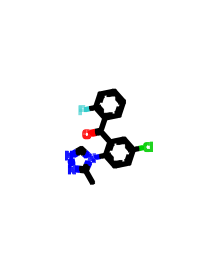 Cc1nncn1-c1ccc(Cl)cc1C(=O)c1ccccc1F